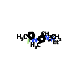 CCN(C)C=Nc1cc(C)c(Nc2cccc(C)c2F)cc1C